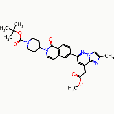 COC(=O)Cc1cc(-c2ccc3c(=O)n(C4CCN(C(=O)OC(C)(C)C)CC4)ccc3c2)nn2cc(C)nc12